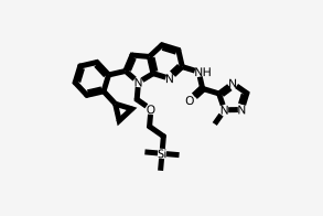 Cn1ncnc1C(=O)Nc1ccc2cc(-c3ccccc3C3CC3)n(COCC[Si](C)(C)C)c2n1